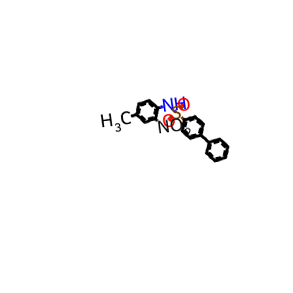 Cc1ccc(NS(=O)(=O)c2ccc(-c3ccccc3)cc2)c([N+](=O)[O-])c1